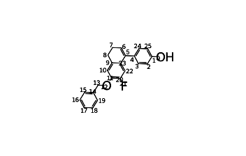 Oc1ccc(C2=CCCc3cc(OCc4ccccc4)c(F)cc32)cc1